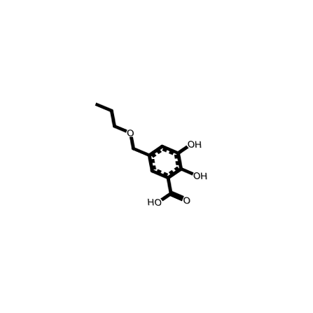 CCCOCc1cc(O)c(O)c(C(=O)O)c1